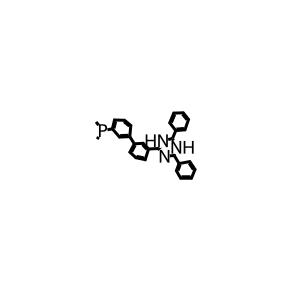 CP(C)c1cccc(-c2cccc(C3=NC(c4ccccc4)NC(c4ccccc4)N3)c2)c1